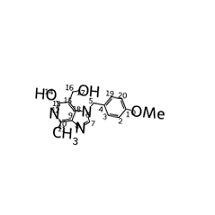 COc1ccc(Cn2cnc3c(C)nc(O)c(CO)c32)cc1